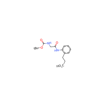 CC(C)(C)OC(=O)NCC(=O)Nc1ccccc1CCC(=O)O